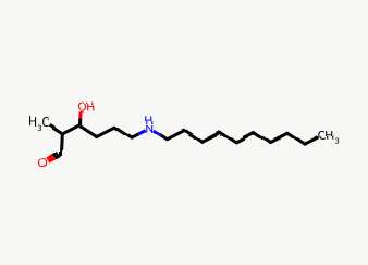 CCCCCCCCCCNCCCC(O)C(C)C=O